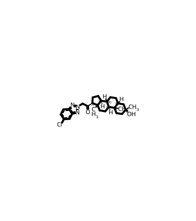 C[C@@]1(O)CC[C@@]2(C)[C@H](CC[C@@H]3[C@@H]2CC[C@]2(C)[C@@H](C(=O)Cn4nc5ccc(Cl)cc5n4)CC[C@@H]32)C1